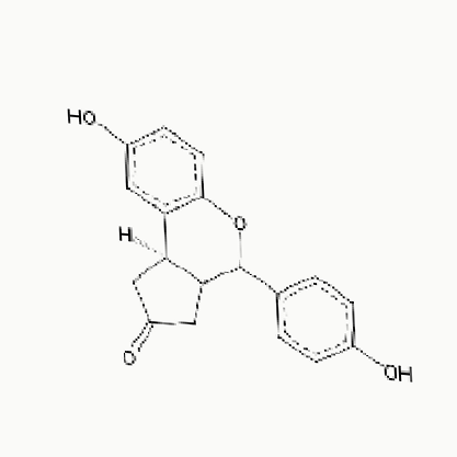 O=C1CC2C(c3ccc(O)cc3)Oc3ccc(O)cc3[C@@H]2C1